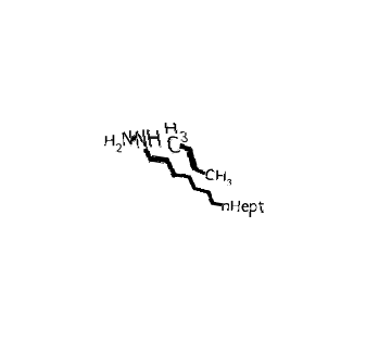 CC=CC.CCCCCCCCCCCCCCNN